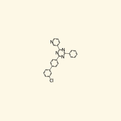 Clc1cccc(-c2ccc(-c3nc(-c4ccccc4)nc(-c4cccnc4)n3)cc2)c1